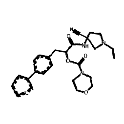 CCN1CCC(C#N)(NC(=O)C(Cc2ccc(-c3ccccc3)cc2)OC(=O)N2CCOCC2)C1